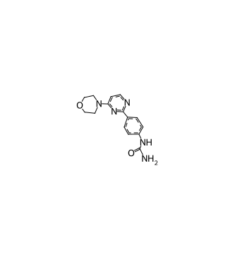 NC(=O)Nc1ccc(-c2nccc(N3CCOCC3)n2)cc1